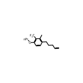 C=CCCCc1ccc(OCCC)c(C(F)(F)F)c1C